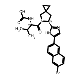 CC(C)[C@H](NC(=O)O)C(=O)N1CC2(CC2)C[C@H]1c1ncc(-c2ccc3cc(Br)ccc3c2)[nH]1